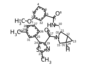 COc1cccc(C(=O)NC[C@@H]2C3C[C@@H]3CN2C(=O)c2nc(C)sc2-c2cccc(C)c2)c1